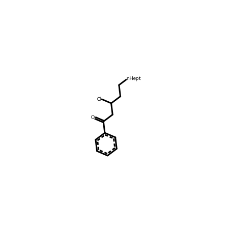 CCCCCCCCCC(Cl)CC(=O)c1ccccc1